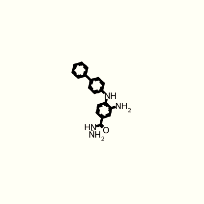 NNC(=O)c1ccc(Nc2ccc(-c3ccccc3)cc2)c(N)c1